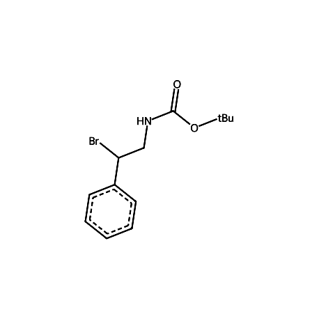 CC(C)(C)OC(=O)NCC(Br)c1ccccc1